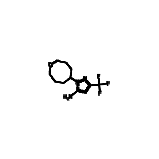 Nc1cc(C(F)(F)F)nn1C1CCCOCCC1